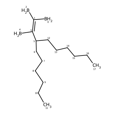 BC(B)=C(B)C(CCCCCC)CCCCCC